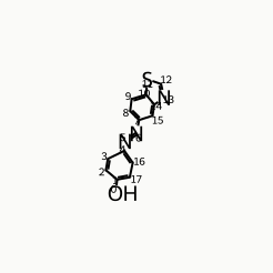 Oc1ccc(N=Nc2ccc3scnc3c2)cc1